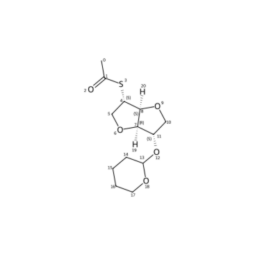 CC(=O)S[C@H]1CO[C@H]2[C@@H]1OC[C@@H]2OC1CCCCO1